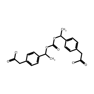 CC(OC(=O)OC(C)c1ccc(CC(=O)Cl)cc1)c1ccc(CC(=O)Cl)cc1